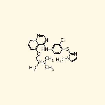 C[C@@H](COc1cccc2ncnc(Nc3ccc(Sc4nccn4C)c(Cl)c3)c12)N(C)C